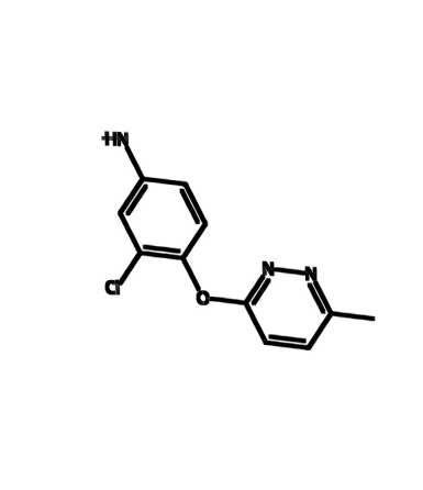 Cc1ccc(Oc2ccc([NH])cc2Cl)nn1